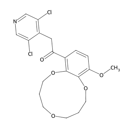 COc1ccc(C(=O)Cc2c(Cl)cncc2Cl)c2c1OCCCOCCCO2